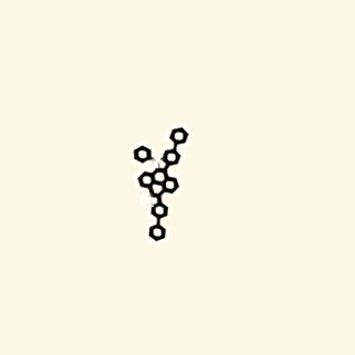 c1ccc(-c2ccc3c(c2)oc2c4cccc5c4c4c(cccc4c4c6ccc(-c7ccccc7)cc6n(-c6ccccc6)c54)c32)cc1